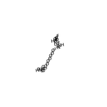 O=C1CCC(N2C(=O)c3cccc(OCCOCCOCCOCCOCCOCCOc4ccc(-c5cnc6[nH]cc(C(=O)c7c(F)ccc(NS(=O)(=O)N8CC[C@@H](F)C8)c7F)c6c5)cc4)c3C2=O)C(=O)N1